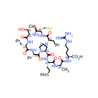 CSCC[C@H](NC(=O)[C@@H]1CCCN1C(=O)[C@@H](NC(=O)[C@H](CC(C)C)NC(=O)[C@@H](NC(=O)[C@H](CS)NC(=O)[C@@H](N)CC(C)C)[C@@H](C)O)C(C)C)C(=O)N[C@@H](C)C(=O)N[C@@H](CCCNC(=N)N)C(=O)O